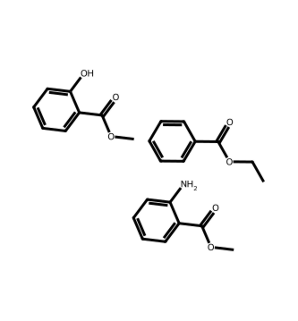 CCOC(=O)c1ccccc1.COC(=O)c1ccccc1N.COC(=O)c1ccccc1O